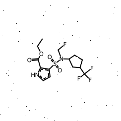 CCOC(=O)c1[nH]ccc1S(=O)(=O)N(CF)C1CCC(C(F)(F)F)C1